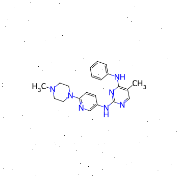 Cc1cnc(Nc2ccc(N3CCN(C)CC3)nc2)nc1Nc1ccccc1